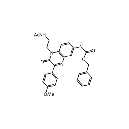 COc1ccc(-c2nc3cc(NC(=O)OCc4ccccc4)ccc3n(CCNC(C)=O)c2=O)cc1